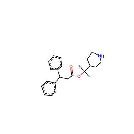 CC(C)(OC(=O)CC(c1ccccc1)c1ccccc1)C1CCNCC1